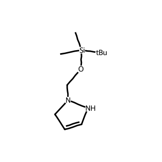 CC(C)(C)[Si](C)(C)OCN1CC=CN1